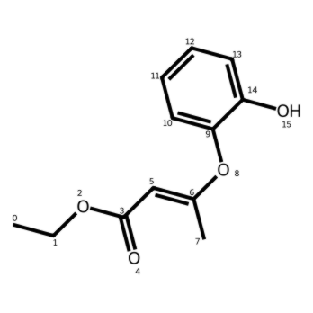 CCOC(=O)C=C(C)Oc1ccccc1O